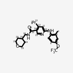 Cc1cc(OC(F)(F)F)ccc1Nc1cc(C(C)C)c(C(=O)NCC2CCOCC2)cn1